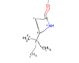 CC(C)(C)C1CC(=O)N1